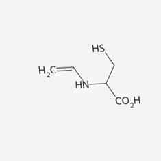 C=CNC(CS)C(=O)O